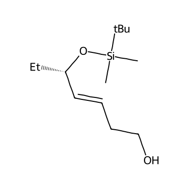 CC[C@@H](C=CCCO)O[Si](C)(C)C(C)(C)C